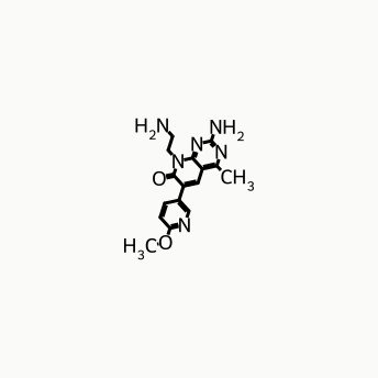 COc1ccc(-c2cc3c(C)nc(N)nc3n(CCN)c2=O)cn1